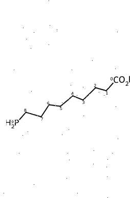 O=C(O)CCCCCCCCP